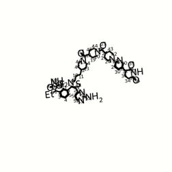 CCC(c1cccc(-c2nc(CCC3CCN(C(=O)C4CCN(C(=O)C5CCN(c6ccc(C7CCC(=O)NC7=O)cn6)CC5)CC4)CC3)sc2-c2ccnc(N)n2)c1F)S(N)(=O)=O